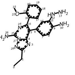 CCc1nc2c(-c3ccc(N)c(NN)c3)c(-c3ccccc3OC)nc(N)n2n1